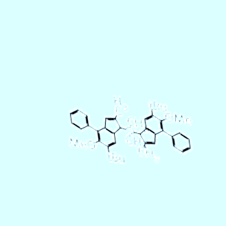 COc1c(C(C)(C)C)cc2c(c1-c1ccccc1)C=C(C)C2[Si](C)(C)C1C(C)=Cc2c1cc(C(C)(C)C)c(OC)c2-c1ccccc1